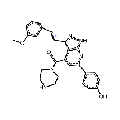 COc1cccc(/C=C/c2n[nH]c3nc(-c4ccc(O)cc4)cc(C(=O)N4CCNCC4)c23)c1